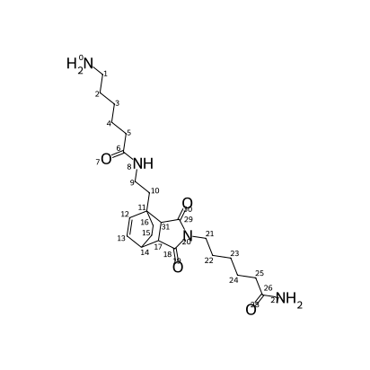 NCCCCCC(=O)NCCC12C=CC(CC1)C1C(=O)N(CCCCCC(N)=O)C(=O)C12